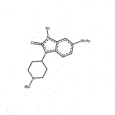 CC(=O)Nc1ccc2c(c1)n(C(C)=O)c(=O)n2C1CCN(C(C)(C)C)CC1